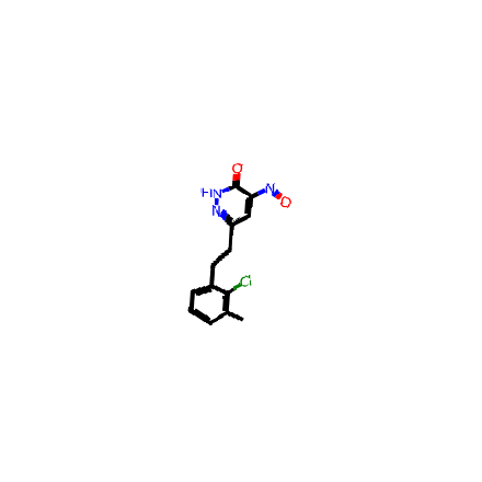 Cc1cccc(CCc2cc(N=O)c(=O)[nH]n2)c1Cl